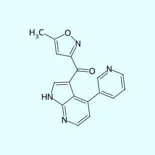 Cc1cc(C(=O)c2c[nH]c3nccc(-c4cccnc4)c23)no1